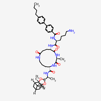 CCCCc1ccc(-c2ccc(C(=O)N[C@@H](CCCCN)C(=O)N[C@H]3CCC(=O)NCCC[C@@H](C(=O)N[C@@H](C)B4O[C@@H]5C[C@@H]6C[C@@H](C6(C)C)[C@]5(C)O4)NC(=O)[C@H](C)NC3=O)cc2)cc1